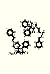 CCC(=O)N(c1ccccc1)C1(C(=O)OC)CCN(CCc2ccccc2)CC1.CCOC(C(=O)N(C)CCN(C)CCc1ccccc1)(c1ccccc1)c1ccccc1